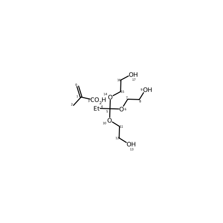 C=C(C)C(=O)O.CCC(OCCO)(OCCO)OCCO